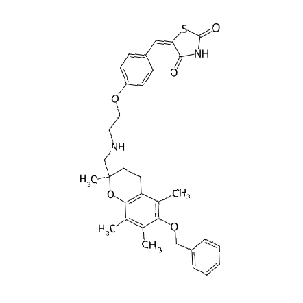 Cc1c(C)c2c(c(C)c1OCc1ccccc1)CCC(C)(CNCCOc1ccc(C=C3SC(=O)NC3=O)cc1)O2